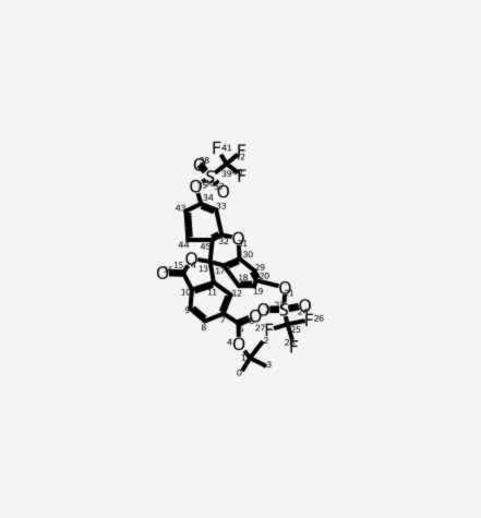 CC(C)(C)OC(=O)c1ccc2c(c1)C1(OC2=O)c2ccc(OS(=O)(=O)C(F)(F)F)cc2Oc2cc(OS(=O)(=O)C(F)(F)F)ccc21